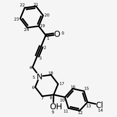 O=C(C#CCN1CCC(O)(c2ccc(Cl)cc2)CC1)c1ccccc1